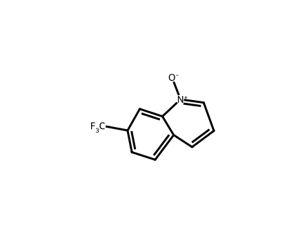 [O-][n+]1cccc2ccc(C(F)(F)F)cc21